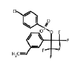 C=Cc1cccc(C(OS(=O)(=O)c2ccc(Cl)cc2)(C(F)(F)F)C(F)(F)F)c1